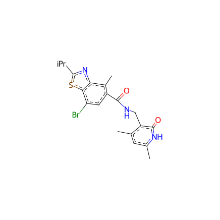 Cc1cc(C)c(CNC(=O)c2cc(Br)c3sc(C(C)C)nc3c2C)c(=O)[nH]1